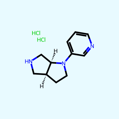 Cl.Cl.c1cncc(N2CC[C@H]3CNC[C@H]32)c1